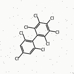 Clc1cc(Cl)c(-c2c(Cl)c(Cl)c(Cl)c(Cl)c2Cl)c(Cl)c1